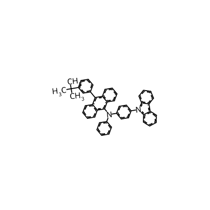 CC(C)(C)c1cccc(-c2c3ccccc3c(N(c3ccccc3)c3ccc(-n4c5ccccc5c5ccccc54)cc3)c3ccccc23)c1